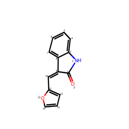 O=C1Nc2cc[c]cc2C1=Cc1ccco1